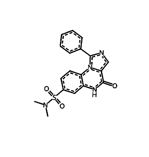 CN(C)S(=O)(=O)c1ccc2c(c1)[nH]c(=O)c1cnc(-c3ccccc3)n12